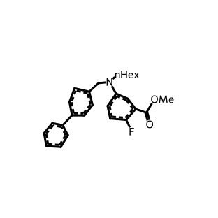 CCCCCCN(Cc1ccc(-c2ccccc2)cc1)c1ccc(F)c(C(=O)OC)c1